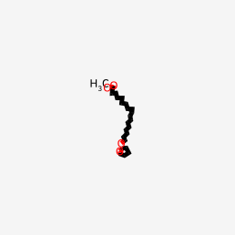 COC(=O)CCCCCCC/C=C\CCCCCCCCOC1CCCCO1